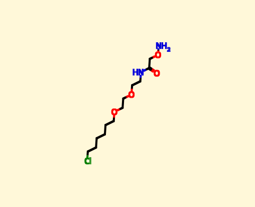 NOCC(=O)NCCOCCOCCCCCCCl